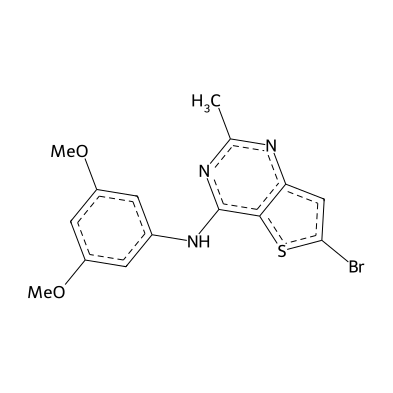 COc1cc(Nc2nc(C)nc3cc(Br)sc23)cc(OC)c1